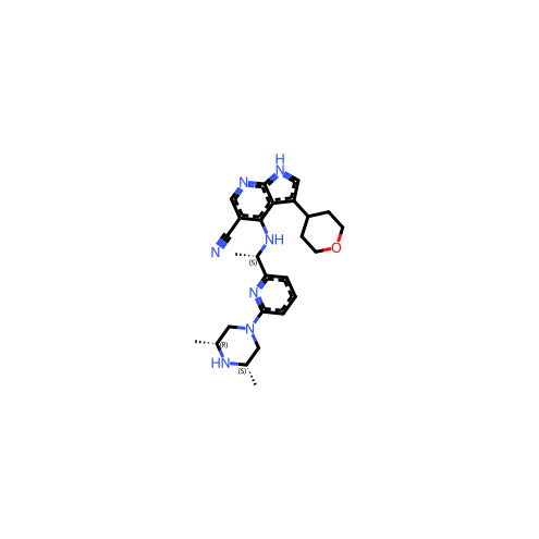 C[C@@H]1CN(c2cccc([C@H](C)Nc3c(C#N)cnc4[nH]cc(C5CCOCC5)c34)n2)C[C@H](C)N1